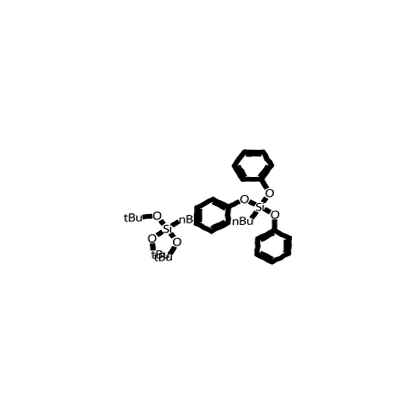 CCCC[Si](OC(C)(C)C)(OC(C)(C)C)OC(C)(C)C.CCCC[Si](Oc1ccccc1)(Oc1ccccc1)Oc1ccccc1